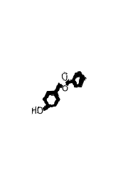 O=C(OCC1CCC(CO)CC1)c1ccccc1